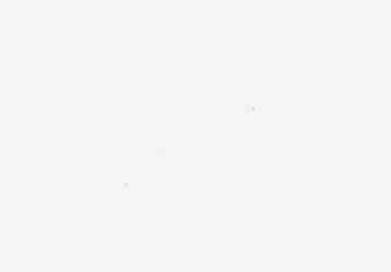 CCN(C)C=Nc1cc(F)cc(Nc2cc(Cl)ccc2C)c1C